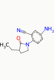 CCC1CCN(c2ccc(N)cc2C#N)C1=O